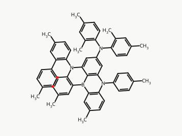 Cc1ccc(-c2cc(C)ccc2N2c3ccc(C)cc3B3c4cc(C)ccc4N(c4ccc(C)cc4)c4cc(N(c5ccc(C)cc5C)c5ccc(C)cc5C)cc2c43)cc1